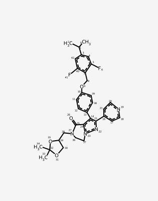 CC(C)c1cc(F)c(COc2ccc(-c3c(-c4ccncc4)nn4c3C(=O)N(CC3COC(C)(C)O3)CC4)cc2)c(F)c1